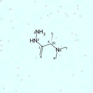 C=C(NN)[C@H](C)N(C)C